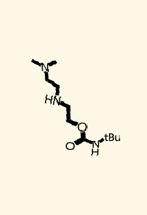 CN(C)CCNCCOC(=O)NC(C)(C)C